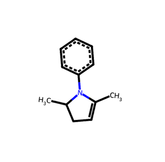 C[C]1CC=C(C)N1c1ccccc1